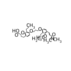 C=CCc1c(OCCCOc2ccc3c(c2CCC)OC(C(=O)O)CC3)ccc(C=CC(=O)N(C)C)c1OC